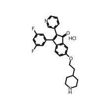 Cl.O=C1C(c2cccnc2)=C(c2cc(F)cc(F)c2)c2ccc(OCCC3CCNCC3)cc21